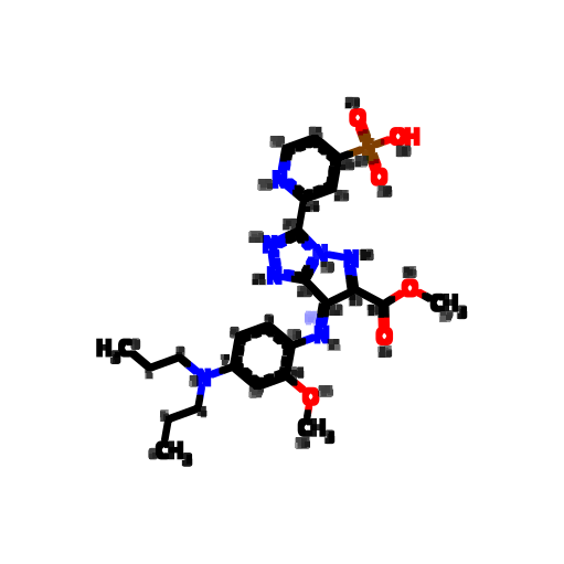 CCCN(CCC)c1ccc(/N=C2/C(C(=O)OC)=Nn3c2nnc3-c2cc(S(=O)(=O)O)ccn2)c(OC)c1